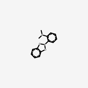 CN(C)c1ccccc1B1Oc2ccccc2O1